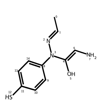 C/C=N/N(/C(O)=C/N)c1ccc(S)cc1